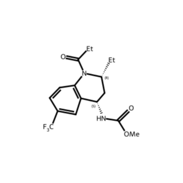 CCC(=O)N1c2ccc(C(F)(F)F)cc2[C@@H](NC(=O)OC)C[C@H]1CC